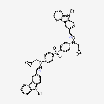 CCn1c2ccccc2c2cc(/C=N/N(CC3CO3)c3ccc(S(=O)(=O)c4ccc(N(CC5CO5)/N=C/c5ccc6c(c5)c5ccccc5n6CC)cc4)cc3)ccc21